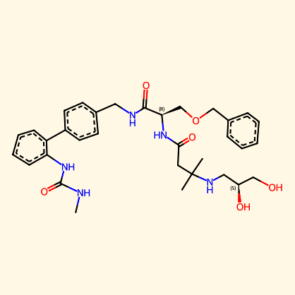 CNC(=O)Nc1ccccc1-c1ccc(CNC(=O)[C@@H](COCc2ccccc2)NC(=O)CC(C)(C)NC[C@H](O)CO)cc1